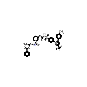 Cc1ccc(-c2cc(C(F)(F)F)nn2-c2ccc(S(=O)(=O)NC(=O)OC3CCCN(/[N+]([O-])=N\OC(C)OC(=O)c4ccccc4)C3)cc2)cc1